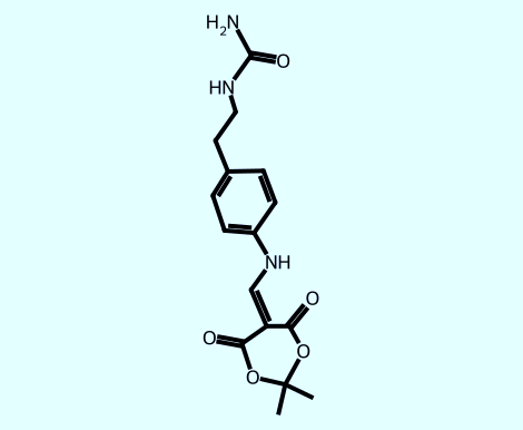 CC1(C)OC(=O)C(=CNc2ccc(CCNC(N)=O)cc2)C(=O)O1